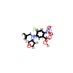 C=C(C)CN(c1cc(C(=O)OC)c([N+](=O)[O-])cc1F)C1CCOC1